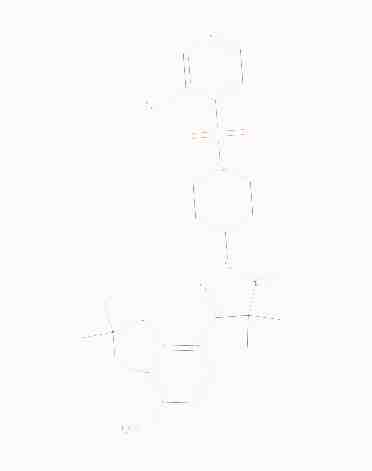 COc1ccc(C2=NN(C3CCN(S(=O)(=O)c4ccccc4C#N)CC3)C(=O)C2(C)C)c2c1OC(C)(C)C2